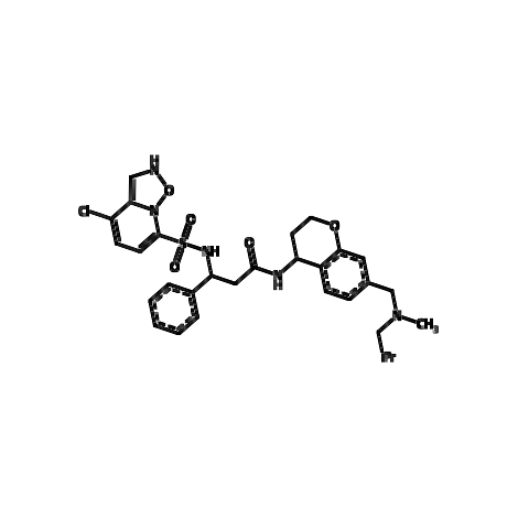 CC(C)CN(C)Cc1ccc2c(c1)OCCC2NC(=O)CC(NS(=O)(=O)C1=CC=C(Cl)C2=CNON21)c1ccccc1